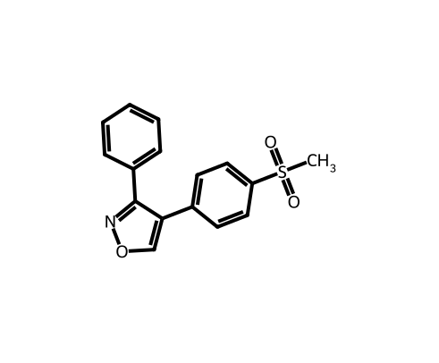 CS(=O)(=O)c1ccc(-c2conc2-c2ccccc2)cc1